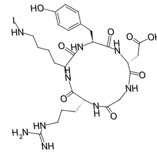 N=C(N)NCCC[C@H]1NC(=O)CNC(=O)[C@@H](CC(=O)O)NC(=O)[C@H](Cc2ccc(O)cc2)NC(=O)C(CCCCNI)NC1=O